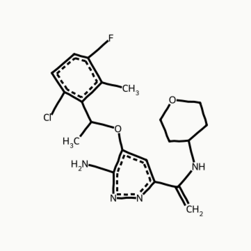 C=C(NC1CCOCC1)c1cc(OC(C)c2c(Cl)ccc(F)c2C)c(N)nn1